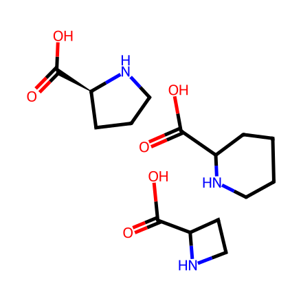 O=C(O)C1CCCCN1.O=C(O)C1CCN1.O=C(O)[C@@H]1CCCN1